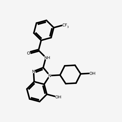 O=C(Nc1nc2cccc(O)c2n1C1CCC(O)CC1)c1cccc(C(F)(F)F)c1